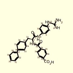 N=C(N)Nc1ccc(NC(=O)[C@H](Cc2ccc(-c3ccccc3)cc2)NC(=O)c2ccc(C(=O)O)cc2)cc1